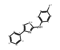 Fc1ccc(Nc2nc(-c3ccccc3)cs2)cc1